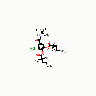 CCCC(C)(C)C(=O)Oc1ccc(C(=O)CNC(C)(C)C)cc1OC(=O)C(C)(C)CCC.Cl